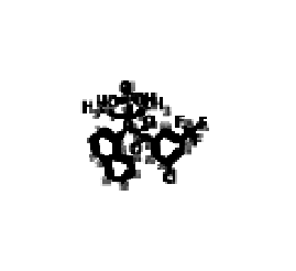 CCC(CC)(N(c1cccc2ccccc12)S(=O)(=O)c1cc(Cl)cc(C(F)(F)F)c1)P(=O)(O)O